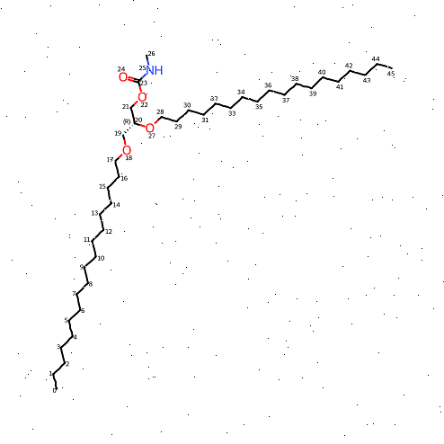 CCCCCCCCCCCCCCCCCCOC[C@H](COC(=O)NC)OCCCCCCCCCCCCCCCCCC